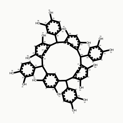 Oc1ccc(C2c3cc(c(O)cc3O)C(c3ccc(O)c(O)c3)c3cc(c(O)cc3O)C(c3ccc(O)c(O)c3)c3cc(c(O)cc3O)C(c3ccc(O)c(O)c3)c3cc2c(O)cc3O)cc1O